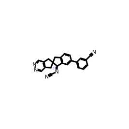 N#C/N=C1/c2cc(-c3cccc(C#N)c3)ccc2CC12Cc1cnncc1C2